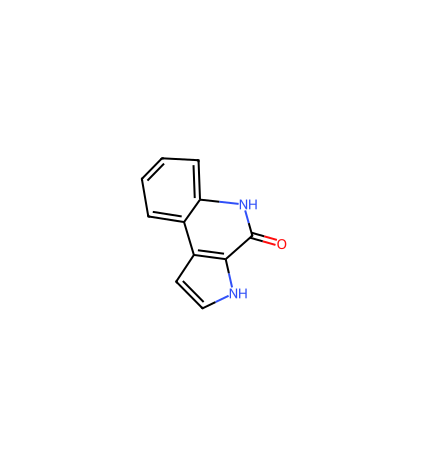 O=c1[nH]c2ccccc2c2cc[nH]c12